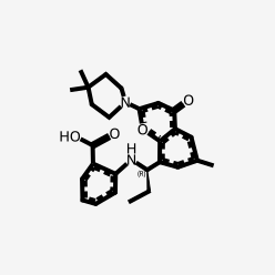 CC[C@@H](Nc1ccccc1C(=O)O)c1cc(C)cc2c(=O)cc(N3CCC(C)(C)CC3)oc12